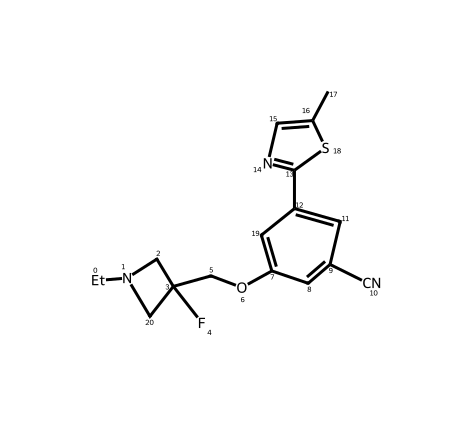 CCN1CC(F)(COc2cc(C#N)cc(-c3ncc(C)s3)c2)C1